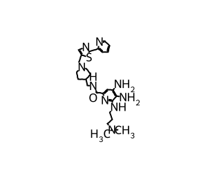 CN(C)CCCNc1nc(C(=O)NCC2CCN(Cc3cnc(-c4ccccn4)s3)CC2)cc(N)c1N